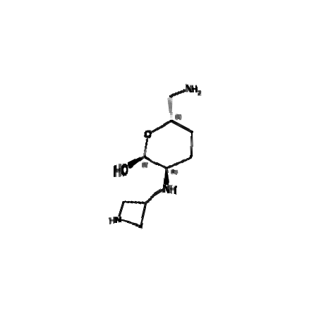 NC[C@@H]1CC[C@@H](NC2CNC2)[C@@H](O)O1